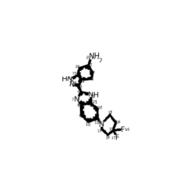 Nc1ccc2c(-c3nc4ccc(N5CCC(F)(F)CC5)cc4[nH]3)n[nH]c2c1